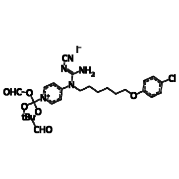 CC(C)(C)OC(OC=O)(OCC=O)[n+]1ccc(N(CCCCCCOc2ccc(Cl)cc2)C(N)=NC#N)cc1.[I-]